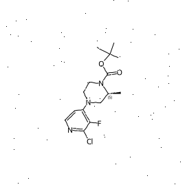 C[C@H]1CN(c2ccnc(Cl)c2F)CCN1C(=O)OC(C)(C)C